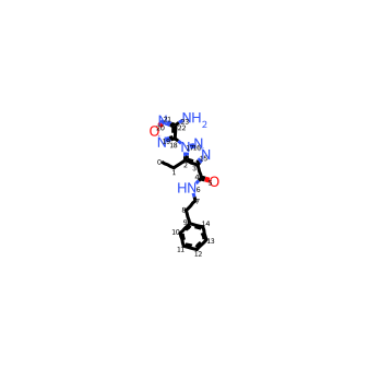 CCc1c(C(=O)NCCc2ccccc2)nnn1-c1nonc1N